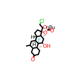 CCCCC(=O)O[C@]1(C(=O)CCl)CC[C@H]2[C@@H]3CC(C)C4CC(=O)CC[C@]4(C)[C@@]3(F)C(O)C[C@@]21C